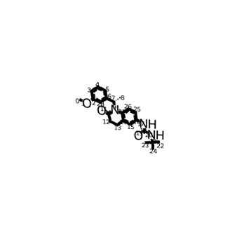 COc1cccc([C@H](C)N2C(=O)CCc3cc(NC(=O)NC(C)(C)C)ccc32)c1